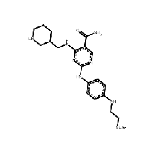 CC(=O)NCCNc1ccc(Nc2ncc(C(N)=O)c(NCC3CCCNC3)n2)cc1